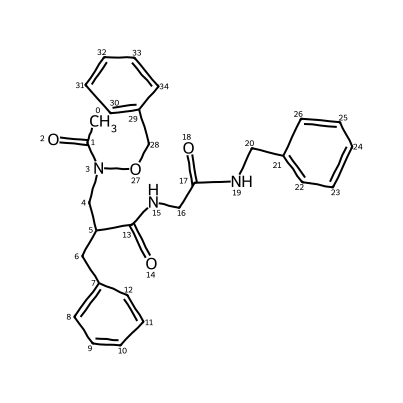 CC(=O)N(CC(Cc1ccccc1)C(=O)NCC(=O)NCc1ccccc1)OCc1ccccc1